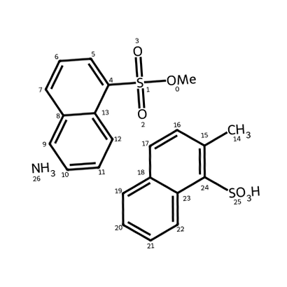 COS(=O)(=O)c1cccc2ccccc12.Cc1ccc2ccccc2c1S(=O)(=O)O.N